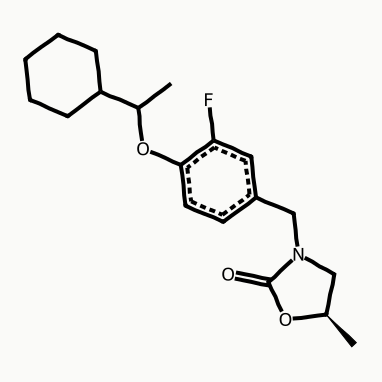 CC(Oc1ccc(CN2C[C@@H](C)OC2=O)cc1F)C1CCCCC1